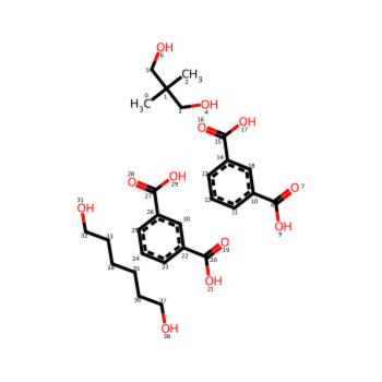 CC(C)(CO)CO.O=C(O)c1cccc(C(=O)O)c1.O=C(O)c1cccc(C(=O)O)c1.OCCCCCCO